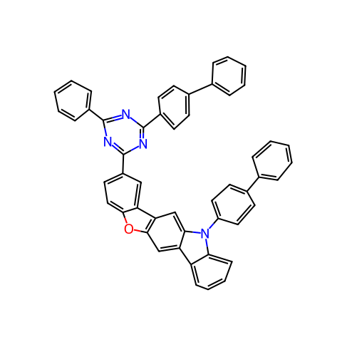 c1ccc(-c2ccc(-c3nc(-c4ccccc4)nc(-c4ccc5oc6cc7c8ccccc8n(-c8ccc(-c9ccccc9)cc8)c7cc6c5c4)n3)cc2)cc1